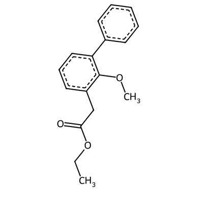 CCOC(=O)Cc1cccc(-c2ccccc2)c1OC